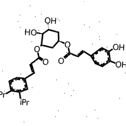 CC(C)c1ccc(/C=C/C(=O)O[C@@H]2C[C@H](OC(=O)/C=C/c3ccc(O)c(O)c3)C[C@@H](O)[C@@H]2O)cc1C(C)C